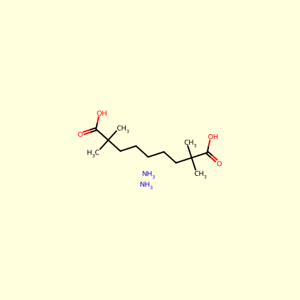 CC(C)(CCCCCC(C)(C)C(=O)O)C(=O)O.N.N